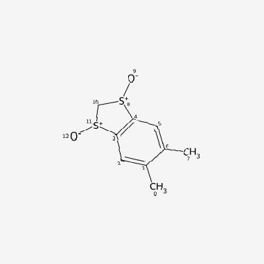 Cc1cc2c(cc1C)[S+]([O-])C[S+]2[O-]